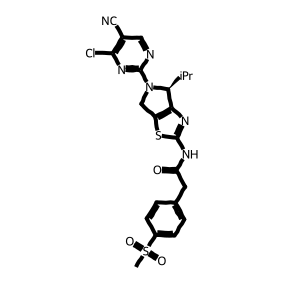 CC(C)[C@H]1c2nc(NC(=O)Cc3ccc(S(C)(=O)=O)cc3)sc2CN1c1ncc(C#N)c(Cl)n1